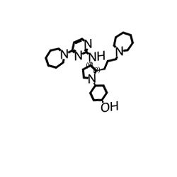 O[C@H]1CC[C@@H](N2CC[C@H](Nc3nccc(N4CCCCCC4)n3)[C@H]2CCCN2CCCCCC2)CC1